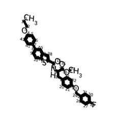 CCCOc1ccc(-c2ccc3sc(C(=O)NC(Cc4ccc(OCc5ccc(F)cc5)cc4)C(=O)OC)cc3c2)cc1